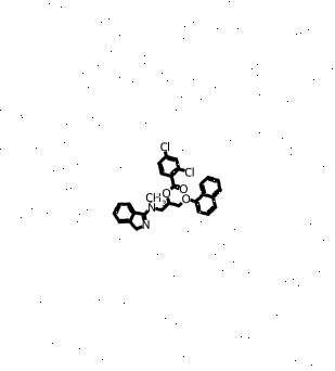 CN(CC(COc1cccc2ccccc12)OC(=O)c1ccc(Cl)cc1Cl)C1=NCc2ccccc21